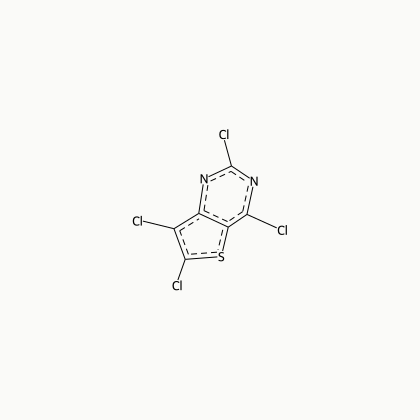 Clc1nc(Cl)c2sc(Cl)c(Cl)c2n1